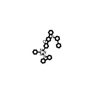 c1ccc(-c2cccc(-n3c4ccccc4c4cc5oc6cc(-c7nc(-c8ccccc8)nc(-n8c9ccccc9c9ccccc98)n7)ccc6c5cc43)c2)cc1